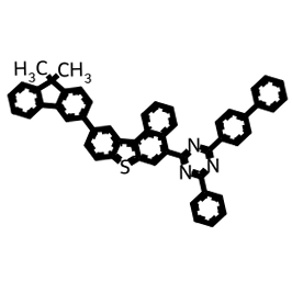 CC1(C)c2ccccc2-c2cc(-c3ccc4sc5cc(-c6nc(-c7ccccc7)nc(-c7ccc(-c8ccccc8)cc7)n6)c6ccccc6c5c4c3)ccc21